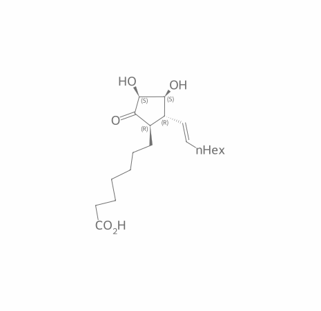 CCCCCCC=C[C@H]1[C@H](O)[C@H](O)C(=O)[C@@H]1CCCCCCC(=O)O